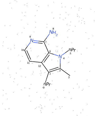 CCCc1c(C)n(CCC)c2c(N)nccc12